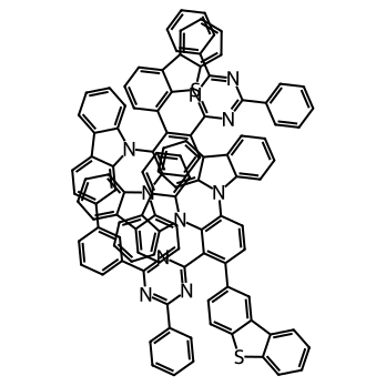 c1ccc(-c2nc(-c3ccccc3)nc(-c3ccc(-n4c5ccccc5c5ccccc54)c(-n4c5ccccc5c5ccc(-c6cccc(-c7nc(-c8ccccc8)nc(-c8c(-c9ccc%10sc%11ccccc%11c%10c9)ccc(-n9c%10ccccc%10c%10ccccc%109)c8-n8c9ccccc9c9ccccc98)n7)c6)cc54)c3-c3cccc4c3sc3ccccc34)n2)cc1